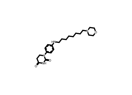 O=C1CCN(c2ccc(NCCCCCCCCN3CCOCC3)cc2)C(=O)N1